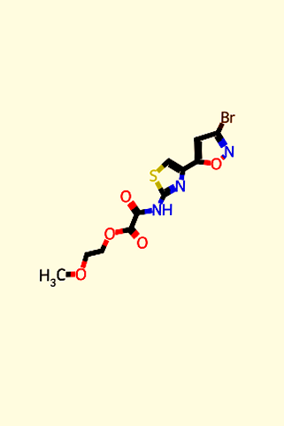 COCCOC(=O)C(=O)Nc1nc(-c2cc(Br)no2)cs1